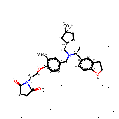 COc1cc(CN(C[C@H]2CCC(C(=O)O)C2)[C@@H](C)c2ccc3c(c2)CCO3)ccc1OCCN1C(=O)CCC1=O